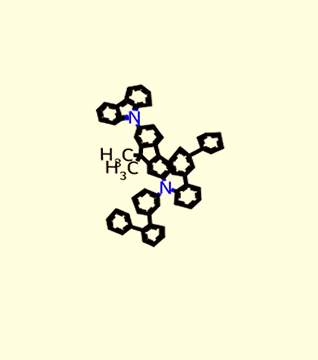 CC1(C)c2cc(N(c3cccc(-c4ccccc4-c4ccccc4)c3)c3ccccc3-c3cccc(-c4ccccc4)c3)ccc2-c2ccc(-n3c4ccccc4c4ccccc43)cc21